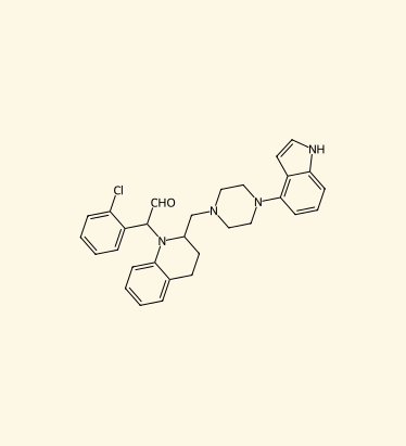 O=CC(c1ccccc1Cl)N1c2ccccc2CCC1CN1CCN(c2cccc3[nH]ccc23)CC1